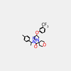 Cc1ccc(C(C)NC(=O)C2(N3CC[C@@H](Oc4cccc(C(F)(F)F)c4)C3)CCOCC2)cc1